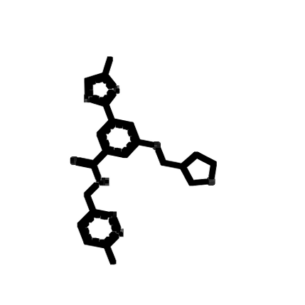 Cc1ccc(CNC(=O)c2cc(OCC3CCOC3)cc(-c3ncc(C)s3)c2)nn1